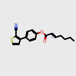 CCCC/C=C/C(=O)Oc1ccc(-c2ccsc2C#N)cc1